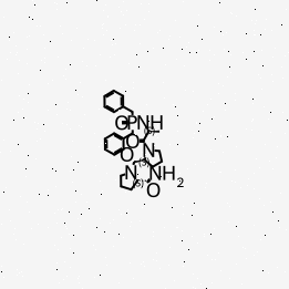 C[C@H](NP(=O)(Cc1ccccc1)Cc1ccccc1)C(=O)N1CCC[C@H]1C(=O)N1CCC[C@H]1C(N)=O